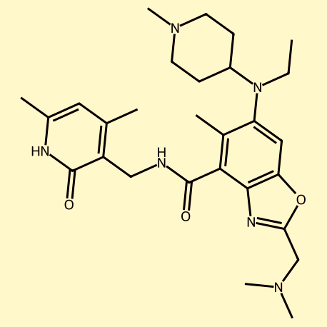 CCN(c1cc2oc(CN(C)C)nc2c(C(=O)NCc2c(C)cc(C)[nH]c2=O)c1C)C1CCN(C)CC1